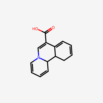 O=C(O)C1=CN2C=CC=CC2C2CC=CC=C12